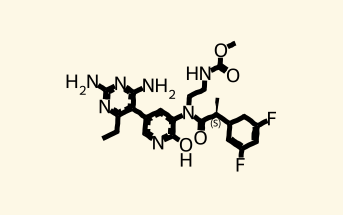 CCc1nc(N)nc(N)c1-c1cnc(O)c(N(CCNC(=O)OC)C(=O)[C@@H](C)C2C=C(F)C=C(F)C2)c1